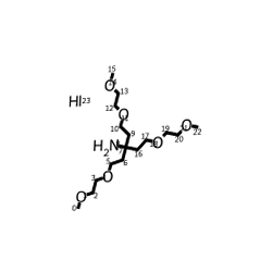 COCCOCCC(N)(CCOCCOC)CCOCCOC.I